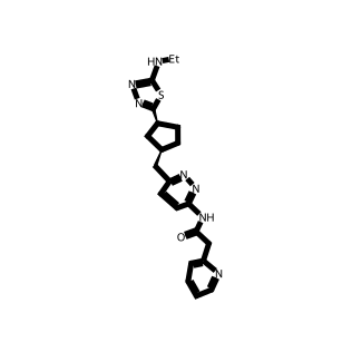 CCNc1nnc([C@H]2CC[C@@H](Cc3ccc(NC(=O)Cc4ccccn4)nn3)C2)s1